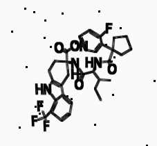 CCC(C)[C@H](NC(=O)C1(c2ccccc2F)CCCC1)C(=O)N[C@]1(C(=O)O)CCc2[nH]c3c(C(F)(F)F)cccc3c2C1